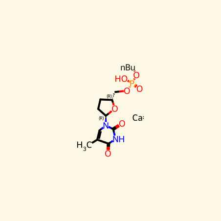 CCCCOP(=O)(O)OC[C@H]1CC[C@H](n2cc(C)c(=O)[nH]c2=O)O1.[Ca]